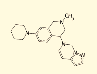 CN1Cc2cc(N3CCCCC3)ccc2C(N2C=Cc3ccnn3C2)C1